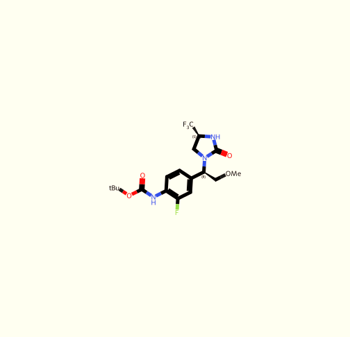 COC[C@@H](c1ccc(NC(=O)OC(C)(C)C)c(F)c1)N1C[C@@H](C(F)(F)F)NC1=O